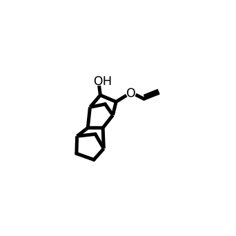 C=COC1C(O)C2CC1C1C3CCC(C3)C21